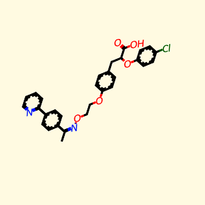 CC(=NOCCOc1ccc(CC(Oc2ccc(Cl)cc2)C(=O)O)cc1)c1ccc(-c2ccccn2)cc1